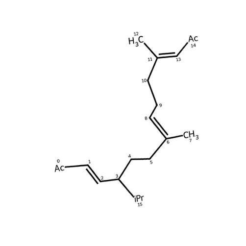 CC(=O)C=CC(CCC(C)=CCCC(C)=CC(C)=O)C(C)C